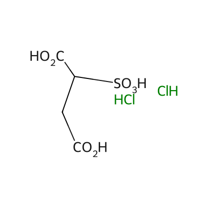 Cl.Cl.O=C(O)CC(C(=O)O)S(=O)(=O)O